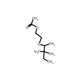 CCC(C)(C)C(C)OCCOC(C)=O